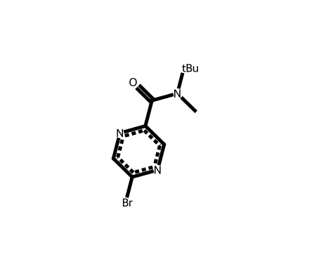 CN(C(=O)c1cnc(Br)cn1)C(C)(C)C